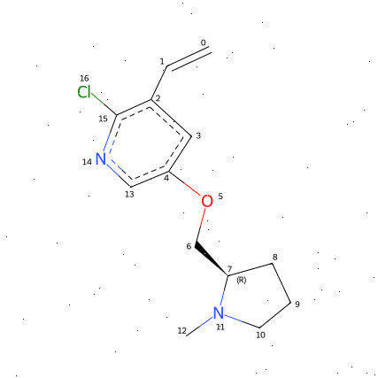 C=Cc1cc(OC[C@H]2CCCN2C)cnc1Cl